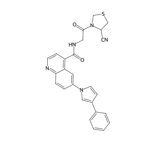 N#CC1CSCN1C(=O)CNC(=O)c1ccnc2ccc(-n3ccc(-c4ccccc4)c3)cc12